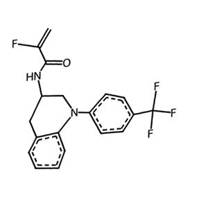 C=C(F)C(=O)NC1Cc2ccccc2N(c2ccc(C(F)(F)F)cc2)C1